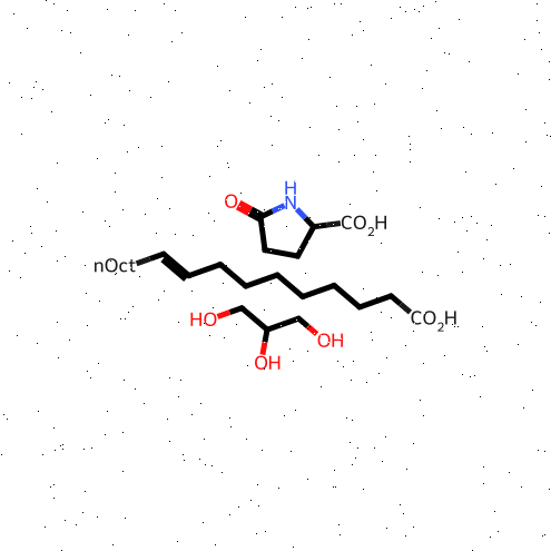 CCCCCCCCC=CCCCCCCCC(=O)O.O=C1CCC(C(=O)O)N1.OCC(O)CO